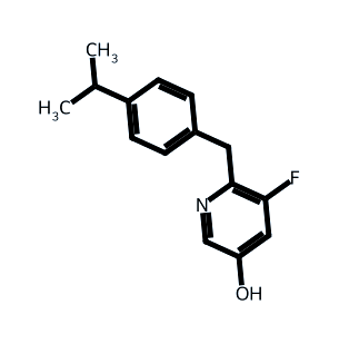 CC(C)c1ccc(Cc2ncc(O)cc2F)cc1